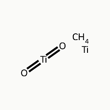 C.[O]=[Ti]=[O].[Ti]